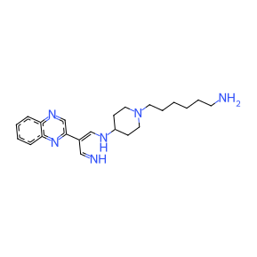 N=C/C(=C\NC1CCN(CCCCCCN)CC1)c1cnc2ccccc2n1